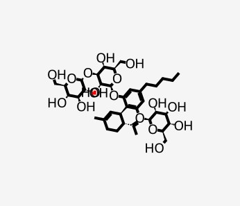 C=C(C)[C@@H]1CCC(C)=C[C@H]1c1c(O[C@@H]2O[C@H](CO)[C@@H](O)[C@H](O)[C@H]2O)cc(CCCCC)cc1O[C@@H]1O[C@H](CO)[C@@H](O)[C@H](O[C@H]2O[C@H](CO)[C@@H](O)[C@H](O)[C@H]2O)[C@H]1O